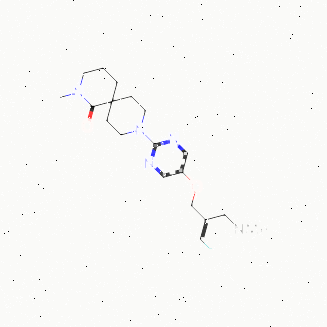 CNC/C(=C\F)COc1cnc(N2CCC3(CCCN(C)C3=O)CC2)nc1